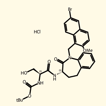 COc1ccc2cc(Br)ccc2c1CN1C(=O)[C@@H](NC(=O)[C@H](CO)NC(=O)OC(C)(C)C)CCc2ccccc21.Cl